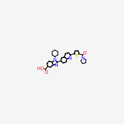 O=C(O)c1ccc2c(c1)nc(-c1ccc3nc(-c4ccc(C(=O)N5CCCC5)s4)ccc3c1)n2C1CCCCC1